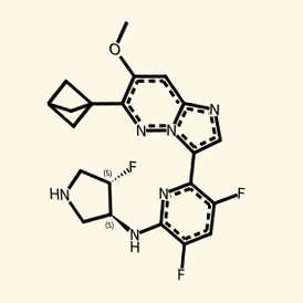 COc1cc2ncc(-c3nc(N[C@H]4CNC[C@@H]4F)c(F)cc3F)n2nc1C12CC(C1)C2